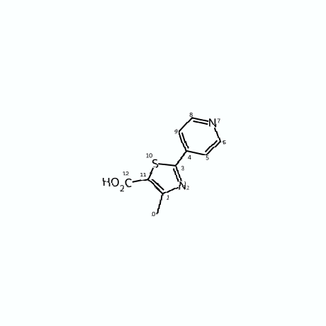 Cc1nc(-c2ccncc2)sc1C(=O)O